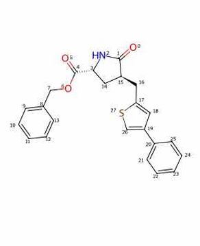 O=C1N[C@@H](C(=O)OCc2ccccc2)C[C@@H]1Cc1cc(-c2ccccc2)cs1